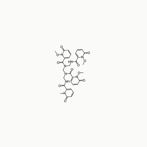 COn1c(C(=O)NCN(CN(CNC(=O)c2cccc(=O)n2C)C(=O)c2cccc(=O)n2OC)C(=O)c2cccc(=O)n2OC)cccc1=O